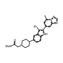 CNC(=O)CN1CCC(c2ccc3[nH]c(-c4cc(C)n5ncnc5c4)c(C(C)C)c3c2)CC1